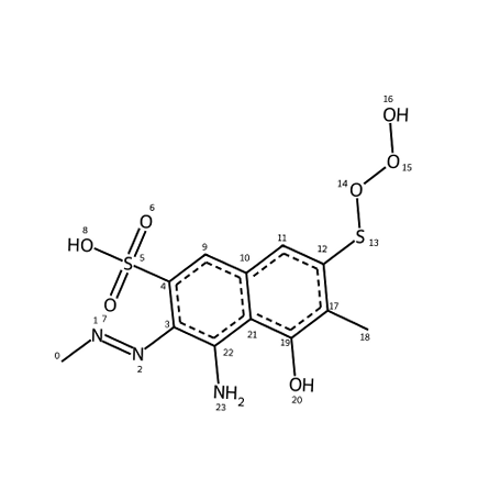 CN=Nc1c(S(=O)(=O)O)cc2cc(SOOO)c(C)c(O)c2c1N